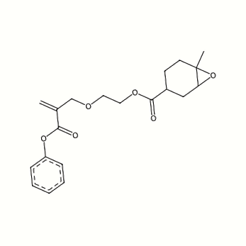 C=C(COCCOC(=O)C1CCC2(C)OC2C1)C(=O)Oc1ccccc1